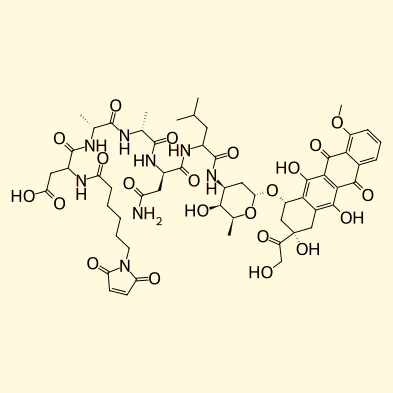 COc1cccc2c1C(=O)c1c(O)c3c(c(O)c1C2=O)C[C@@](O)(C(=O)CO)C[C@@H]3O[C@H]1C[C@H](NC(=O)C(CC(C)C)NC(=O)[C@@H](CC(N)=O)NC(=O)[C@@H](C)NC(=O)[C@@H](C)NC(=O)C(CC(=O)O)NC(=O)CCCCCN2C(=O)C=CC2=O)[C@H](O)[C@H](C)O1